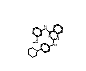 COc1cccc(Nc2nc(Nc3ccc(N4CCCCC4)cc3)nc3ccccc23)c1